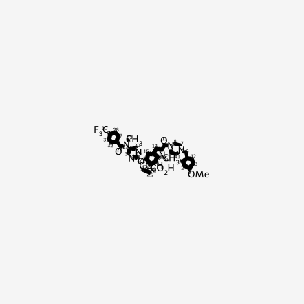 COc1ccc(CN2CCN(C(=O)c3cc4cc(Oc5ncc(N(C)C(=O)c6ccc(C(F)(F)F)cc6)cn5)ccc4n3C)CC2)cc1.O=C(O)/C=C\C(=O)O